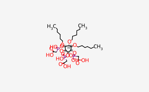 CCCCCCO[C@@H]1[C@@H](OCCCCCC)[C@H](OP(=O)(O)CC(=O)O)[C@@H](OP(=O)(O)CC(=O)O)[C@@H](OP(=O)(O)CC(=O)O)[C@H]1OCCCCCC